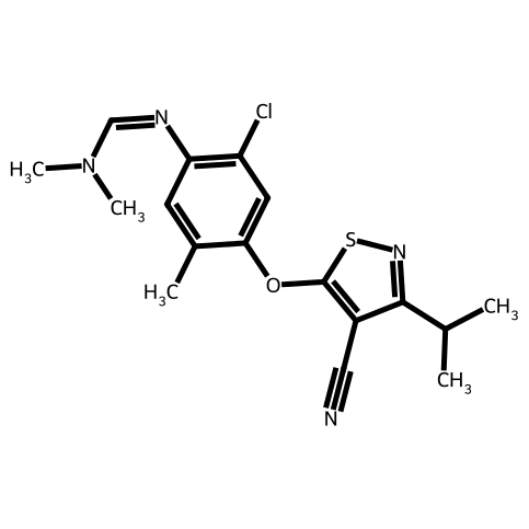 Cc1cc(/N=C\N(C)C)c(Cl)cc1Oc1snc(C(C)C)c1C#N